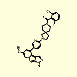 CCOc1cc(-c2ccc(N3CCC4(CCN(C(=O)c5c(F)cccc5Cl)CC4)C3)nc2)c2c3cn[nH]c3nn2c1